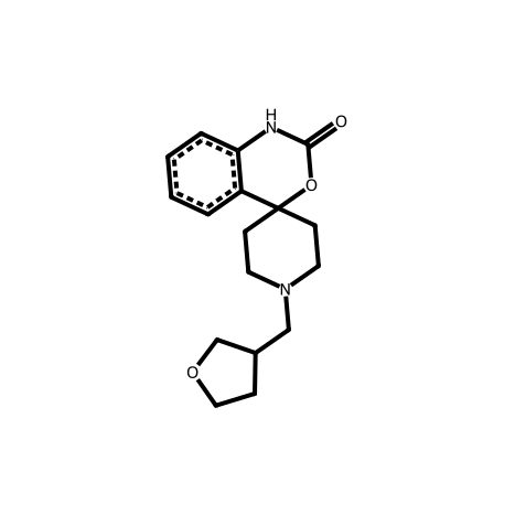 O=C1Nc2ccccc2C2(CCN(CC3CCOC3)CC2)O1